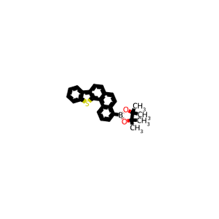 CC1(C)OB(c2cccc3c2ccc2ccc4c5ccccc5sc4c23)OC1(C)C